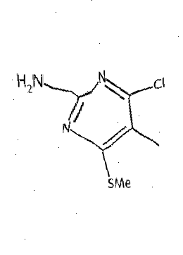 CSc1nc(N)nc(Cl)c1C